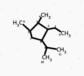 CCC1C(C)C(C)CC1C(C)C